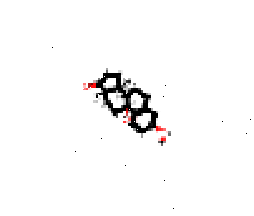 COc1ccc2c(c1)CC[C@H]1[C@@H]3CCC(=O)[C@@]3(C)CC[C@@]21O